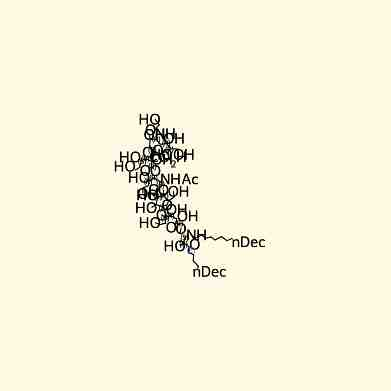 CCCCCCCCCCCCC/C=C/[C@@H](O)[C@H](CO[C@@H]1OC(CO)[C@@H](O[C@@H]2OC(CO)[C@H](O[C@@H]3OC(CO)[C@H](O)[C@H](O[C@@H]4OC(CO)[C@H](O)[C@H](O[C@]5(C(=O)O)CC(O)[C@@H](NC(=O)CO)C([C@H](O)[C@H](O)CO)O5)C4O)C3NC(C)=O)[C@H](O)C2O)[C@H](O)C1O)NC(=O)CCCCCCCCCCCCCCCCC